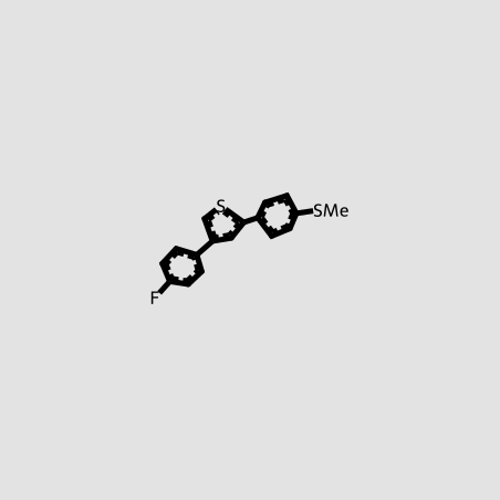 CSc1ccc(-c2cc(-c3ccc(F)cc3)cs2)cc1